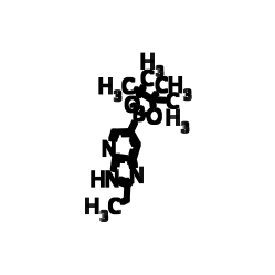 CCc1nc2cc(B3OC(C)(C)C(C)(C)O3)cnc2[nH]1